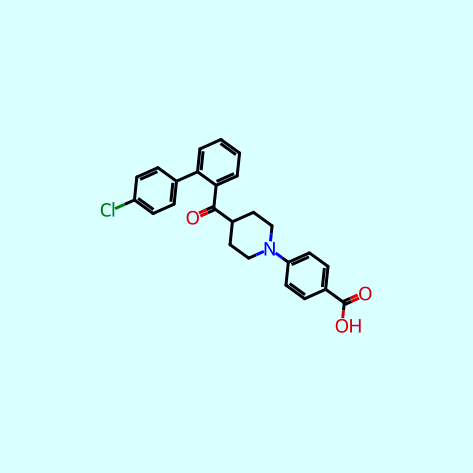 O=C(O)c1ccc(N2CCC(C(=O)c3ccccc3-c3ccc(Cl)cc3)CC2)cc1